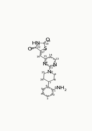 Nc1ccccc1C1CCN(c2nccc(/C=C3\SC(=O)NC3=O)n2)CC1